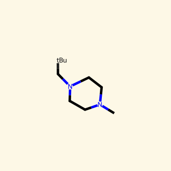 [CH2]C(C)(C)CN1CCN(C)CC1